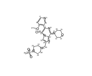 COc1ccncc1-c1nc(N2CCOCC2)c2nc(CN3CCN(S(C)(=O)=O)CC3)cn2c1Cl